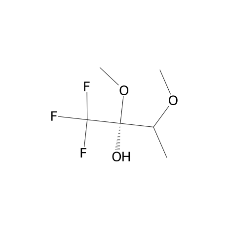 COC(C)[C@](O)(OC)C(F)(F)F